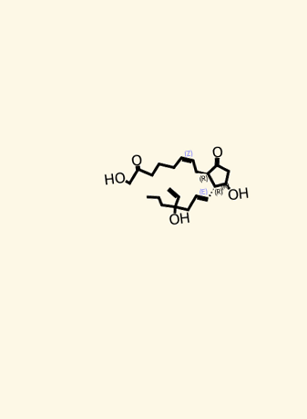 C=CC(O)(C/C=C/[C@H]1[C@H](O)CC(=O)[C@@H]1C/C=C\CCCC(=O)CO)CCC